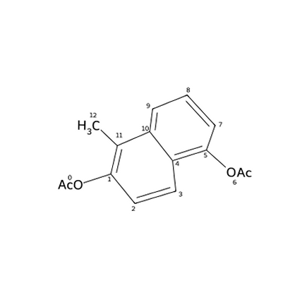 CC(=O)Oc1ccc2c(OC(C)=O)cccc2c1C